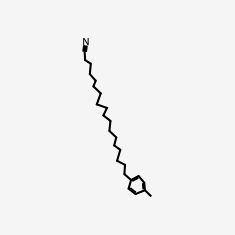 Cc1ccc(CCCCCCCCCCCCCCCCCC#N)cc1